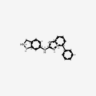 c1ccc(-c2cccc3nc(Nc4ccc5c(c4)SNC5)nn23)cc1